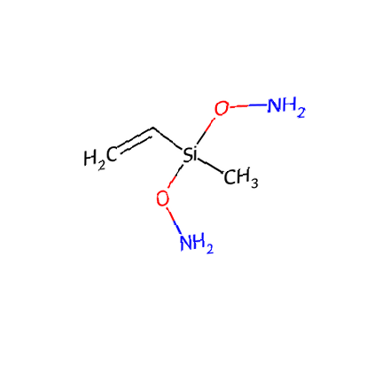 C=C[Si](C)(ON)ON